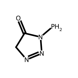 O=C1CN=NN1P